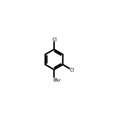 CC[C](C)c1ccc(Cl)cc1Cl